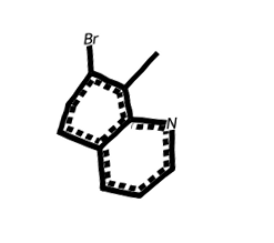 Cc1c(Br)ccc2cccnc12